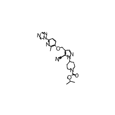 Cc1nc(-n2cncn2)ccc1OCc1cnn(C2CCN(C(=O)OC(C)C)CC2)c1C#N